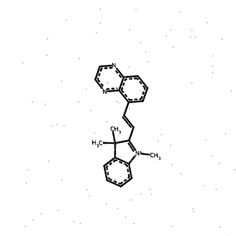 C[N+]1=C(/C=C/c2cccc3nccnc23)C(C)(C)c2ccccc21